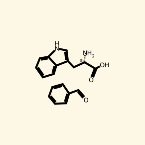 N[C@@H](Cc1c[nH]c2ccccc12)C(=O)O.O=Cc1ccccc1